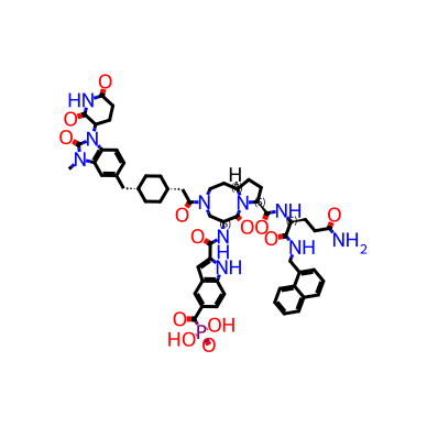 Cn1c(=O)n(C2CCC(=O)NC2=O)c2ccc(C[C@H]3CC[C@@H](CC(=O)N4CC[C@H]5CC[C@@H](C(=O)N[C@@H](CCC(N)=O)C(=O)NCc6cccc7ccccc67)N5C(=O)[C@@H](NC(=O)c5cc6cc(C(=O)P(=O)(O)O)ccc6[nH]5)C4)CC3)cc21